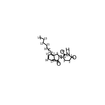 O=C1CCC(N2Cc3c(SCCCCI)cccc3C2=O)C(=O)N1